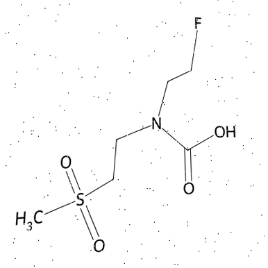 CS(=O)(=O)CCN(CCF)C(=O)O